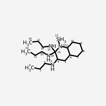 CCCNC1CC2CCCCC2N([SiH3])C1(NCCC)NCCC